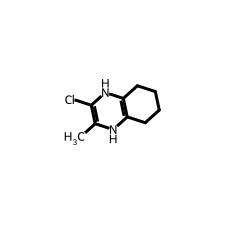 CC1=C(Cl)NC2=C(CCCC2)N1